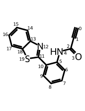 C#CC(=O)Nc1ccccc1-c1nc2ccccc2s1